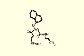 C=CCNC(=O)ON(Oc1cccc2ccccc12)C(=O)C=CCCCCC